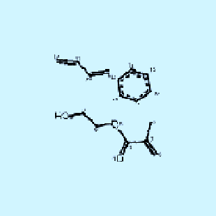 C=C(C)C(=O)OCCO.C=CC=C.c1ccccc1